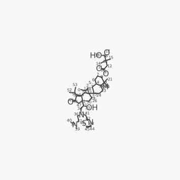 CCC[C@@H]1[C@@]2(C)CC[C@H](OC(=O)CC(C)(C)C(=O)O)C(C)(C)[C@@H]2CC[C@@]1(C)[C@]1(C)CC[C@@]2([C@@H](O)CN(CCN(C)C)Cc3nccs3)CC(=O)C(C(C)C)=C2C1